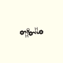 O=C(NCc1ccccc1)c1cccc(CCNCc2ccccc2)c1